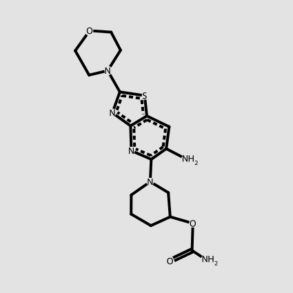 NC(=O)OC1CCCN(c2nc3nc(N4CCOCC4)sc3cc2N)C1